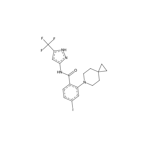 O=C(Nc1cc(C(F)(F)F)[nH]n1)c1ccc(I)cc1N1CCC2(CC1)CC2